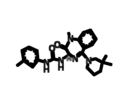 Cc1cccc(NC(=O)N[C@@H]2N=C(N3CCCC(C)(C)C3)c3ccccc3N(C)C2=O)c1